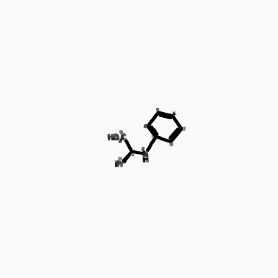 CC(C)[C@H](Nc1ccccc1)C(=O)O